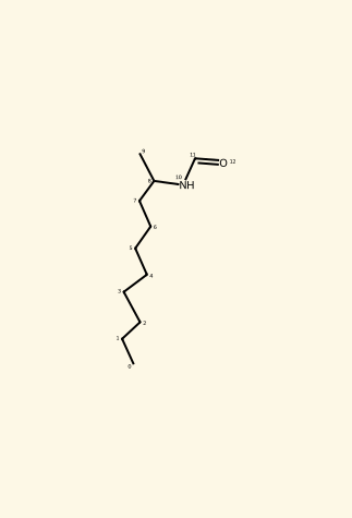 CCCCCCCCC(C)NC=O